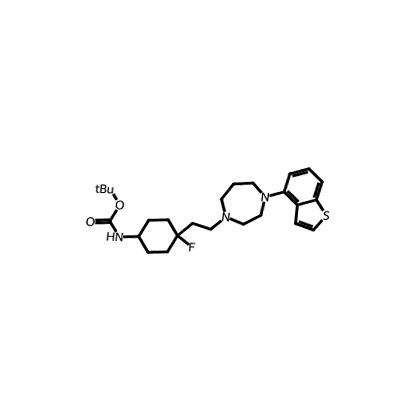 CC(C)(C)OC(=O)NC1CCC(F)(CCN2CCCN(c3cccc4sccc34)CC2)CC1